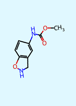 COC(=O)Nc1ccc2c(c1)CNO2